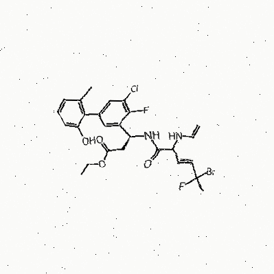 C=CNC(/C=C/C(C)(F)Br)C(=O)N[C@@H](CC(=O)OCC)c1cc(-c2c(C)cccc2O)cc(Cl)c1F